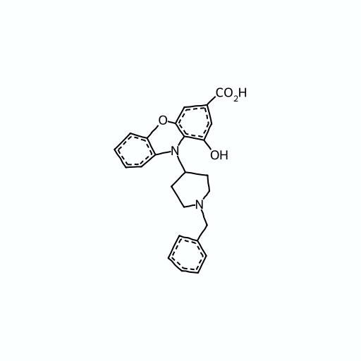 O=C(O)c1cc(O)c2c(c1)Oc1ccccc1N2C1CCN(Cc2ccccc2)CC1